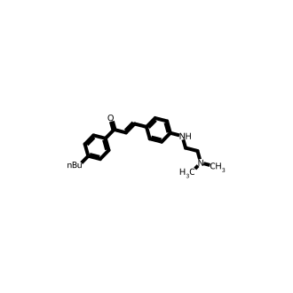 CCCCc1ccc(C(=O)C=Cc2ccc(NCCN(C)C)cc2)cc1